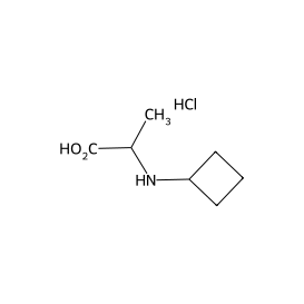 CC(NC1CCC1)C(=O)O.Cl